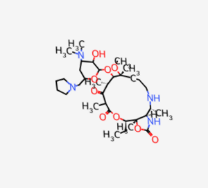 CC[C@H]1OC(=O)C(C)C(=O)[C@H](C)[C@@H](OC2OC(CN3CCCC3)CC(N(C)C)C2O)[C@](C)(OC)CCCN[C@H](C)[C@H]2NC(=O)O[C@@]21C